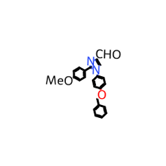 COc1ccc(-c2nc(C=O)cn2-c2ccc(OCc3ccccc3)cc2)cc1